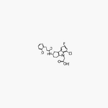 COc1ccccc1CCC(=O)N[C@@H]1CCc2c(c3cc(F)cc(Cl)c3n2CC(=O)O)C1